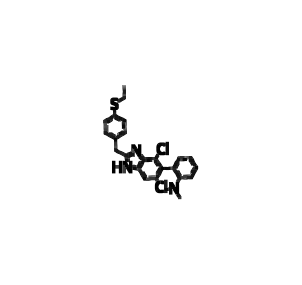 CCSc1ccc(Cc2nc3c(Cl)c(-c4ccccc4N(C)C)c(Cl)cc3[nH]2)cc1